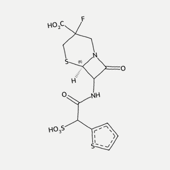 O=C(NC1C(=O)N2CC(F)(C(=O)O)CS[C@H]12)C(c1cccs1)S(=O)(=O)O